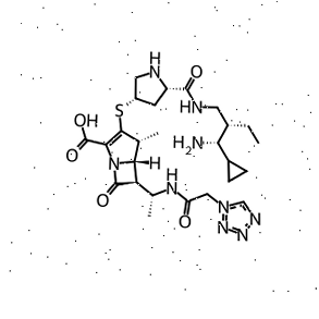 CC[C@@H](CNC(=O)[C@@H]1C[C@H](SC2=C(C(=O)O)N3C(=O)[C@H]([C@@H](C)NC(=O)Cn4cnnn4)[C@H]3[C@H]2C)CN1)[C@@H](N)C1CC1